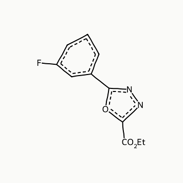 CCOC(=O)c1nnc(-c2cccc(F)c2)o1